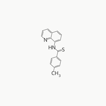 Cc1ccc(C(=S)Nc2cccc3cccnc23)cc1